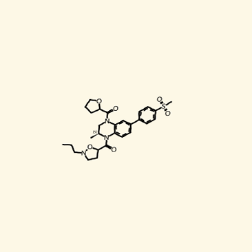 CCCN1CCC(C(=O)N2c3ccc(-c4ccc(S(C)(=O)=O)cc4)cc3N(C(=O)C3CCCO3)C[C@@H]2C)O1